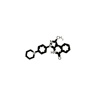 Cc1nn(-c2ccc(N3CCCCC3)cc2)c2[nH]c(=O)c3ccccc3c12